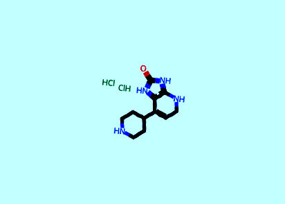 Cl.Cl.O=c1[nH]c2c([nH]1)C(C1CCNCC1)=CCN2